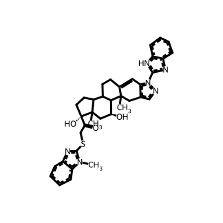 Cn1c(SCC(=O)[C@@]2(O)CCC3C4CCC5=Cc6c(cnn6-c6nc7ccccc7[nH]6)CC5(C)C4[C@@H](O)CC32C)nc2ccccc21